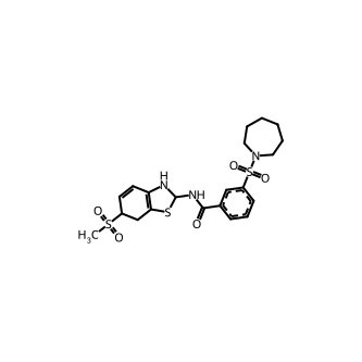 CS(=O)(=O)C1C=CC2=C(C1)SC(NC(=O)c1cccc(S(=O)(=O)N3CCCCCC3)c1)N2